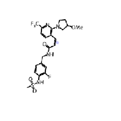 COC1CCN(c2nc(C(F)(F)F)ccc2/C=C\C(=O)NCc2ccc(NS(C)(=O)=O)c(F)c2)C1